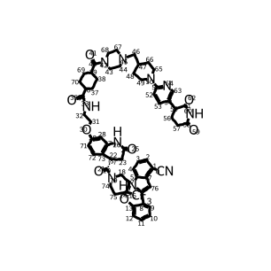 N#Cc1cccc2[nH]c(-c3ccccc3OC3(C(F)(F)F)CCN(C(=O)[C@H]4CC(=O)Nc5cc(OCCNC(=O)C6CCC(C(=O)N7CCN(CC8CCN(c9ccc(C%10CCC(=O)NC%10=O)cn9)CC8)CC7)CC6)ccc54)CC3)cc12